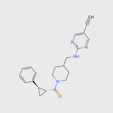 C#Cc1cnc(NCC2CCN(C(=O)[C@@H]3C[C@H]3c3ccccc3)CC2)nc1